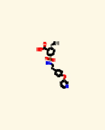 CCc1ccc(S(=O)(=O)NCCc2ccc(Oc3cccnc3)cc2)cc1C(=O)O